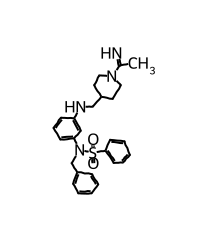 CC(=N)N1CCC(CNc2cccc(N(Cc3ccccc3)S(=O)(=O)c3ccccc3)c2)CC1